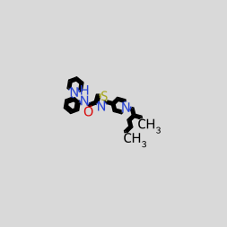 CCCCC(CC)CN1CCC(c2nc(C(=O)Nc3ccccc3N3CCCCC3)cs2)CC1